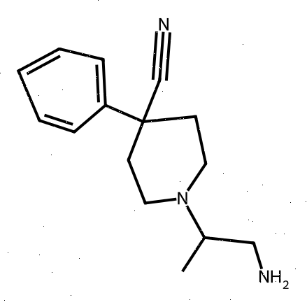 CC(CN)N1CCC(C#N)(c2ccccc2)CC1